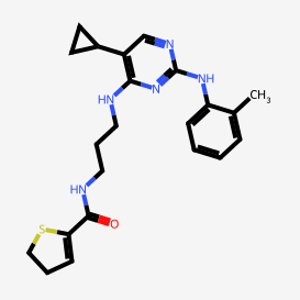 Cc1ccccc1Nc1ncc(C2CC2)c(NCCCNC(=O)C2=CCCS2)n1